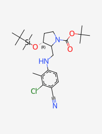 Cc1c(NCC2[C@H](O[Si](C)(C)C(C)(C)C)CCN2C(=O)OC(C)(C)C)ccc(C#N)c1Cl